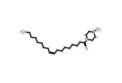 CCCCCCCC/C=C\CCCCCCCC(=O)N1CCN(C)CC1